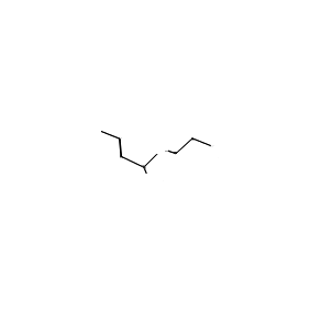 [CH2]CCC(C)SCCC